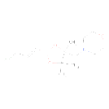 CC1(C)OB(/C=C/CCl)OC1(C)CN1CCOCC1